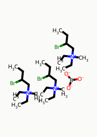 CCC(Br)C[N+](C)(CC)CC.CCC(Br)C[N+](C)(CC)CC.CCC(Br)C[N+](C)(CC)CC.[O-]B([O-])[O-]